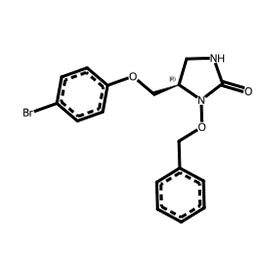 O=C1NC[C@H](COc2ccc(Br)cc2)N1OCc1ccccc1